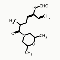 C=C/C(=C\CC(C)C(=O)N1CC(C)OC(C)C1)NC=O